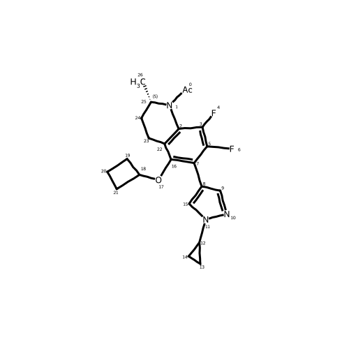 CC(=O)N1c2c(F)c(F)c(-c3cnn(C4CC4)c3)c(OC3CCC3)c2CC[C@@H]1C